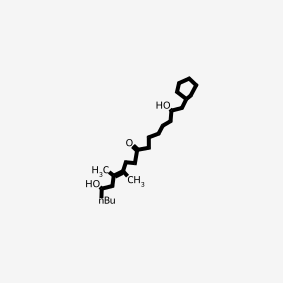 CCCCC(O)C/C(C)=C(\C)CCC(=O)CCCCCC(O)CC1CCCCC1